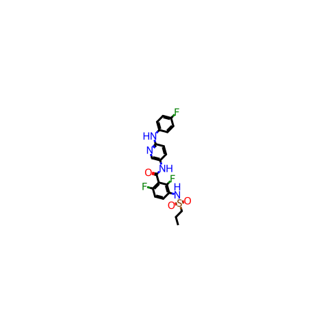 CCCS(=O)(=O)Nc1ccc(F)c(C(=O)Nc2ccc(Nc3ccc(F)cc3)nc2)c1F